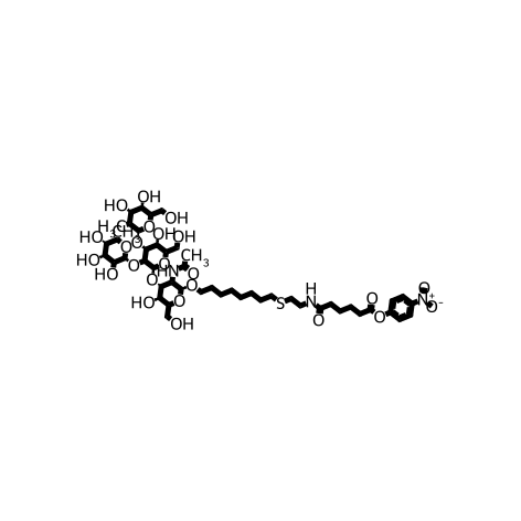 CC(=O)NC1[C@@H](OCCCCCCCCSCCNC(=O)CCCCC(=O)Oc2ccc([N+](=O)[O-])cc2)OC(CO)[C@@H](O)[C@@H]1O[C@@H]1OC(CO)[C@H](O)[C@H](O[C@H]2OC(CO)[C@H](O)[C@H](O)C2C)C1O[C@@H]1OC(C)[C@@H](O)[C@H](O)C1O